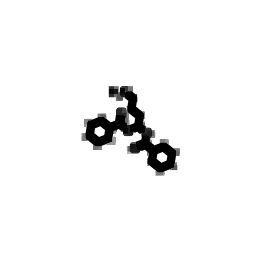 CCCCC(OC(=O)C1CCCCC1)OC(=O)C1CCCCC1